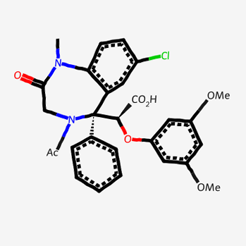 COc1cc(OC)cc(O[C@H](C(=O)O)[C@]2(c3ccccc3)c3cc(Cl)ccc3N(C)C(=O)CN2C(C)=O)c1